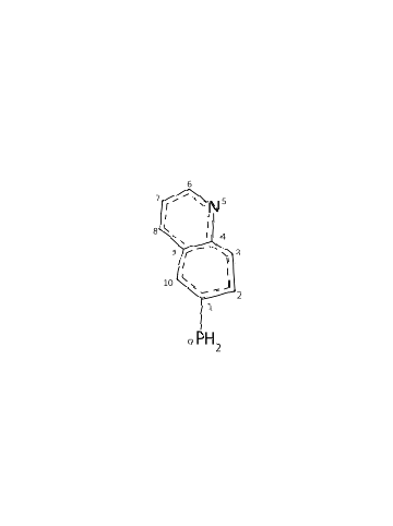 Pc1ccc2ncccc2c1